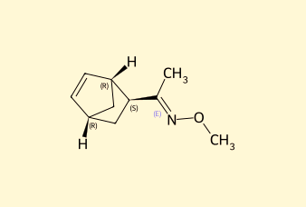 CO/N=C(\C)[C@H]1C[C@@H]2C=C[C@H]1C2